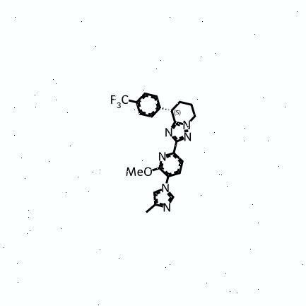 COc1nc(-c2nc3n(n2)CCC[C@H]3c2ccc(C(F)(F)F)cc2)ccc1-n1cnc(C)c1